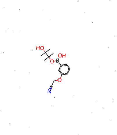 CC(C)(O)C(C)(C)OB(O)c1cccc(OCC#N)c1